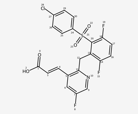 O=C(O)/C=C/c1cc(F)cnc1Cc1c(F)ccc(F)c1S(=O)(=O)c1ccc(Cl)cc1